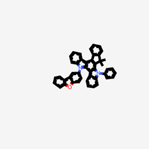 CC1(C)c2ccccc2-c2c1c1c(c3ccccc3n1-c1ccccc1)c1c2c2ccccc2n1-c1ccc2oc3ccccc3c2c1